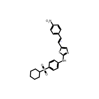 O=[N+]([O-])c1ccc(/C=C/c2cnc(Nc3ccc(S(=O)(=O)C4CCCCC4)cc3)s2)cc1